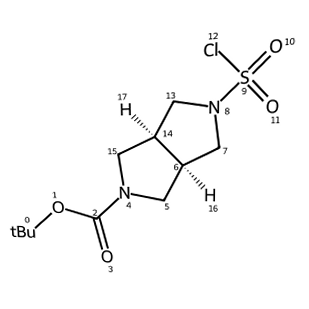 CC(C)(C)OC(=O)N1C[C@@H]2CN(S(=O)(=O)Cl)C[C@@H]2C1